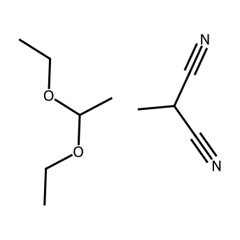 CC(C#N)C#N.CCOC(C)OCC